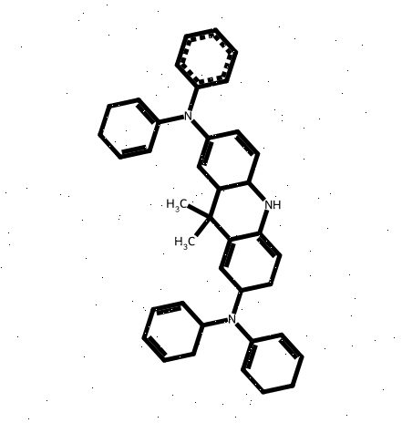 CC1(C)C2=CC(N(C3=CCCC=C3)C3C=CC=CC3)CC=C2NC2C=CC(N(C3=CCCC=C3)c3ccccc3)=CC21